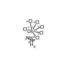 [Cl][Os-2]([Cl])([Cl])([Cl])([Cl])[Cl].[NH4+].[NH4+]